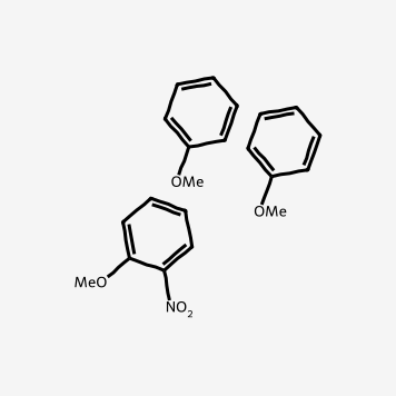 COc1ccccc1.COc1ccccc1.COc1ccccc1[N+](=O)[O-]